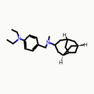 CCN(CC)c1ccc(CN(C)C2C[C@H]3CC4C[C@@H](C3)C[C@@H]4C2)cc1